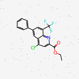 CCOC(=O)c1cc(Cl)c2cc(-c3ccccc3)cc(C(F)(F)F)c2n1